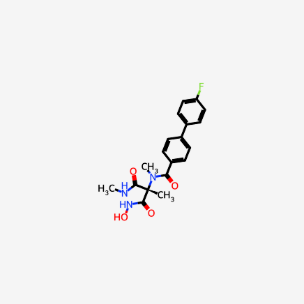 CNC(=O)[C@@](C)(C(=O)NO)N(C)C(=O)c1ccc(-c2ccc(F)cc2)cc1